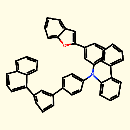 c1ccc(-c2ccccc2N(c2ccc(-c3cccc(-c4cccc5ccccc45)c3)cc2)c2cccc(-c3cc4ccccc4o3)c2)cc1